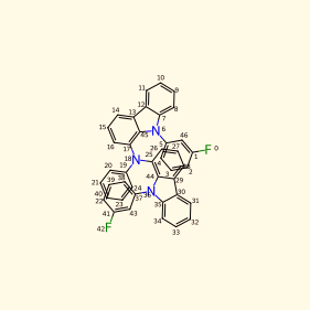 Fc1cccc(-n2c3ccccc3c3cccc(N(c4ccccc4)c4cccc5c6ccccc6n(-c6cccc(F)c6)c45)c32)c1